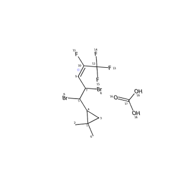 CC1(C)CC1C(Br)C(Br)/C=C(/F)C(F)(F)F.O=C(O)O